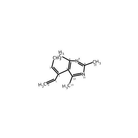 C=C/C(=C/C)c1c(C)nc(C)nc1C